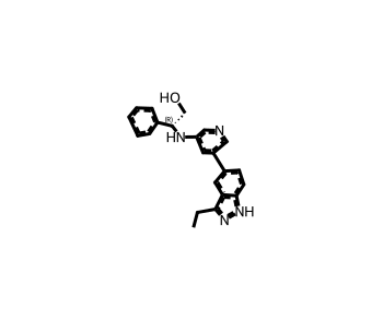 CCc1n[nH]c2ccc(-c3cncc(N[C@@H](CO)c4ccccc4)c3)cc12